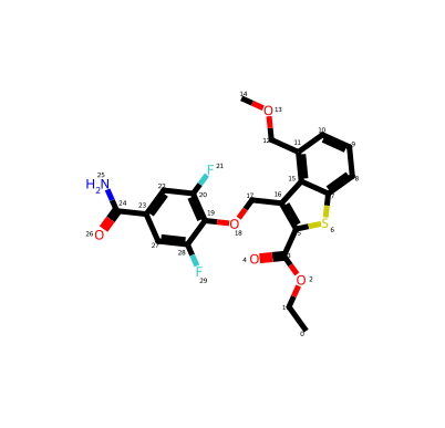 CCOC(=O)c1sc2cccc(COC)c2c1COc1c(F)cc(C(N)=O)cc1F